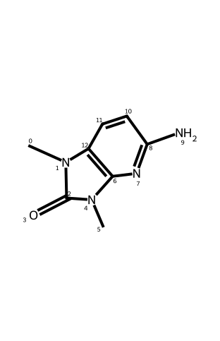 Cn1c(=O)n(C)c2nc(N)ccc21